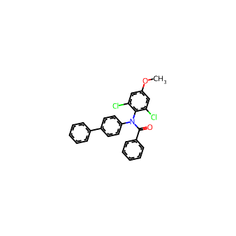 COc1cc(Cl)c(N(C(=O)c2ccccc2)c2ccc(-c3ccccc3)cc2)c(Cl)c1